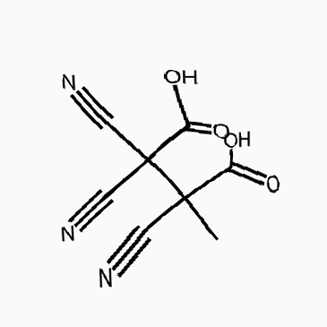 CC(C#N)(C(=O)O)C(C#N)(C#N)C(=O)O